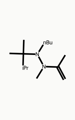 C=C(C)N(C)N(CCCC)C(C)(C)C(C)C